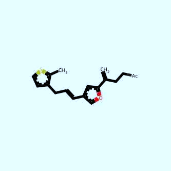 C=C(CCC(C)=O)c1cc(/C=C/Cc2ccsc2C)co1